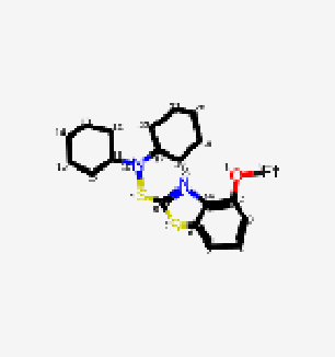 CCOc1cccc2sc(SN(C3CCCCC3)C3CCCCC3)nc12